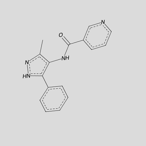 Cc1n[nH]c(-c2ccccc2)c1NC(=O)c1cccnc1